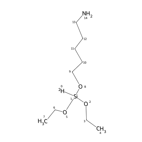 [2H][Si](OCC)(OCC)OCCCCCN